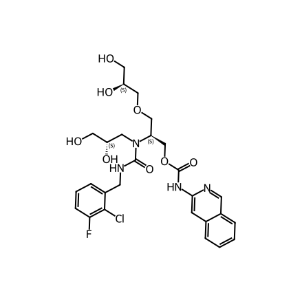 O=C(Nc1cc2ccccc2cn1)OC[C@H](COC[C@@H](O)CO)N(C[C@H](O)CO)C(=O)NCc1cccc(F)c1Cl